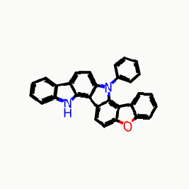 c1ccc(-n2c3ccc4c5ccccc5[nH]c4c3c3ccc4oc5ccccc5c4c32)cc1